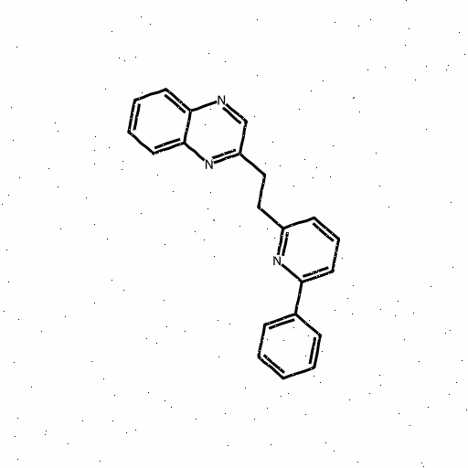 c1ccc(-c2cccc(CCc3cnc4ccccc4n3)n2)cc1